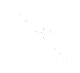 CCCCCCCCCCCCCCCCCC(CCCCCCCCCCCCCCCCC)NC(=O)O